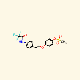 CS(=O)(=O)Oc1ccc(OCCc2ccc(NC(=O)C(F)(F)F)cc2)cc1